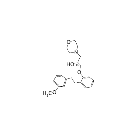 COc1cccc(CCc2ccccc2OC[C@H](O)CN2CCOCC2)c1